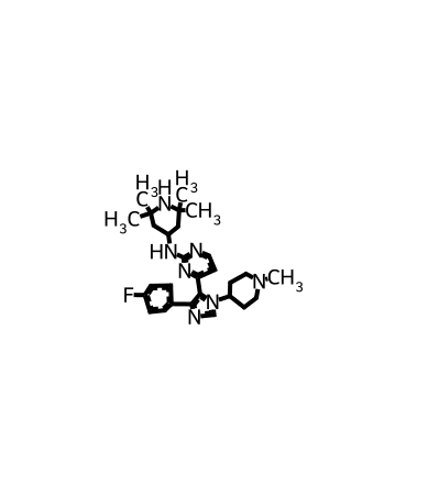 CN1CCC(n2cnc(-c3ccc(F)cc3)c2-c2ccnc(NC3CC(C)(C)NC(C)(C)C3)n2)CC1